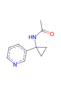 CC(=O)NC1(c2cccnc2)CC1